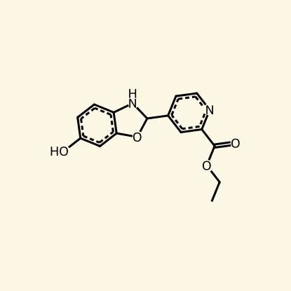 CCOC(=O)c1cc(C2Nc3ccc(O)cc3O2)ccn1